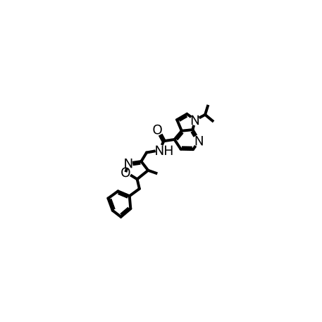 CC1C(CNC(=O)c2ccnc3c2ccn3C(C)C)=NOC1Cc1ccccc1